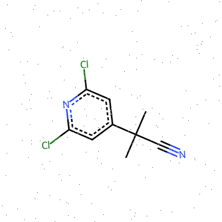 CC(C)(C#N)c1cc(Cl)nc(Cl)c1